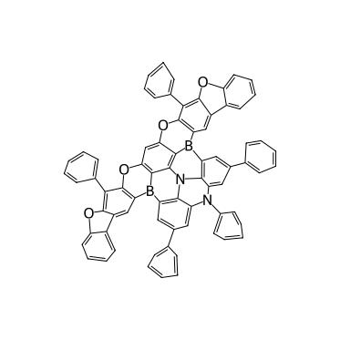 c1ccc(-c2cc3c4c(c2)N(c2ccccc2)c2cc(-c5ccccc5)cc5c2N4c2c4c(cc6c2B5c2cc5c(oc7ccccc75)c(-c5ccccc5)c2O6)Oc2c(cc5c(oc6ccccc65)c2-c2ccccc2)B34)cc1